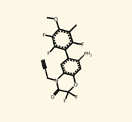 C#CCN1C(=O)C(F)(F)Oc2cc(P)c(-c3c(F)c(C)c(OC)c(F)c3F)cc21